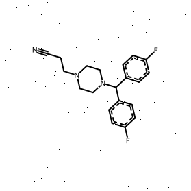 N#CCCN1CCN(C(c2ccc(F)cc2)c2ccc(F)cc2)CC1